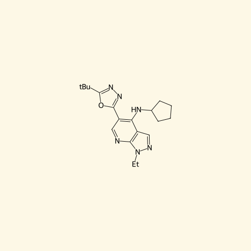 CCn1ncc2c(NC3CCCC3)c(-c3nnc(C(C)(C)C)o3)cnc21